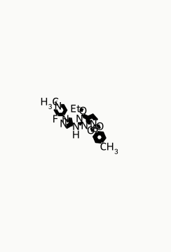 CCOc1nc(Nc2cnn(C3CCN(C)CC3F)c2)nc2c1ccn2S(=O)(=O)c1ccc(C)cc1